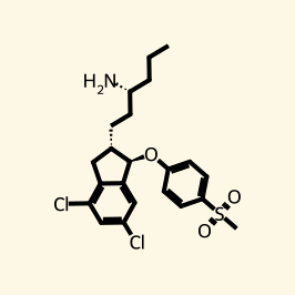 CCC[C@@H](N)CC[C@H]1Cc2c(Cl)cc(Cl)cc2[C@@H]1Oc1ccc(S(C)(=O)=O)cc1